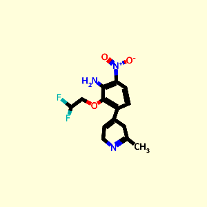 CC1=NCC=C(c2ccc([N+](=O)[O-])c(N)c2OCC(F)F)C1